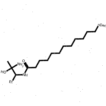 CCCCCCCCCCCCCCCCCCCCCC(=O)NC(CC)C(C)(N)O